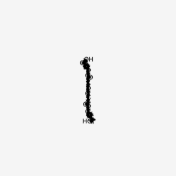 CC(C)(O)C(=O)c1ccc(OCCOC(=O)CCSCCOCCOCCSCCC(=O)OCCOc2ccc(C3=CC3(C)O)cc2)cc1